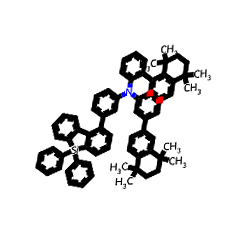 CC1(C)CCC(C)(C)c2cc(-c3cccc(N(c4cccc(-c5cccc6c5-c5ccccc5[Si]6(c5ccccc5)c5ccccc5)c4)c4ccccc4-c4cccc5c4C(C)(C)CCC5(C)C)c3)ccc21